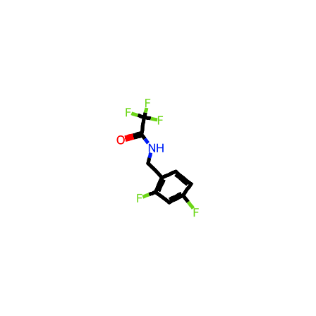 O=C(NCc1ccc(F)cc1F)C(F)(F)F